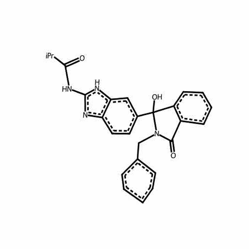 CC(C)C(=O)Nc1nc2ccc(C3(O)c4ccccc4C(=O)N3Cc3ccccc3)cc2[nH]1